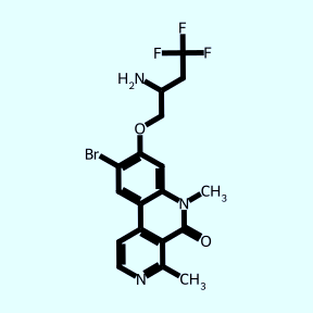 Cc1nccc2c1c(=O)n(C)c1cc(OCC(N)CC(F)(F)F)c(Br)cc21